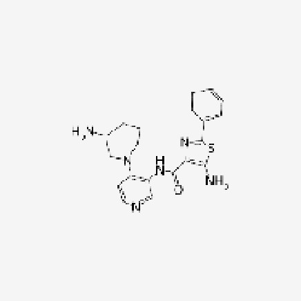 Nc1sc(-c2ccccc2)nc1C(=O)Nc1cnccc1N1CCCC(N)C1